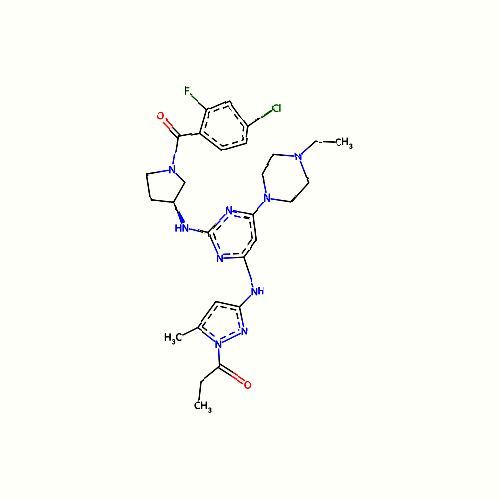 CCC(=O)n1nc(Nc2cc(N3CCN(CC)CC3)nc(N[C@H]3CCN(C(=O)c4ccc(Cl)cc4F)C3)n2)cc1C